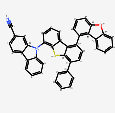 N#Cc1ccc2c3ccccc3n(-c3cccc4c3sc3c(-c5ccccc5)ccc(-c5cccc6oc7ccccc7c56)c34)c2c1